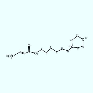 O=C(O)/C=C/C(=O)OCCCCCCN1CCOCC1